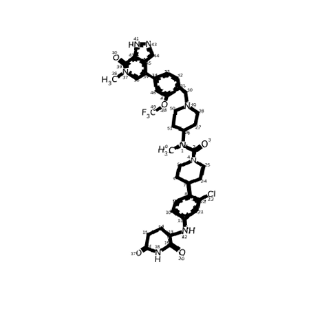 CN(C(=O)N1CCC(c2ccc(NC3CCC(=O)NC3=O)cc2Cl)CC1)C1CCN(Cc2ccc(-c3cn(C)c(=O)c4[nH]ncc34)cc2OC(F)(F)F)CC1